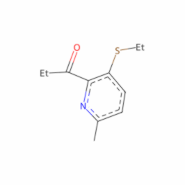 CCSc1ccc(C)nc1C(=O)CC